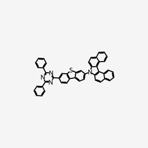 c1ccc(-c2nc(-c3ccccc3)nc(-c3ccc4c(c3)sc3cc(-n5c6ccc7ccccc7c6c6c7ccccc7ccc65)ccc34)n2)cc1